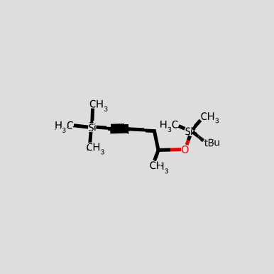 CC(CC#C[Si](C)(C)C)O[Si](C)(C)C(C)(C)C